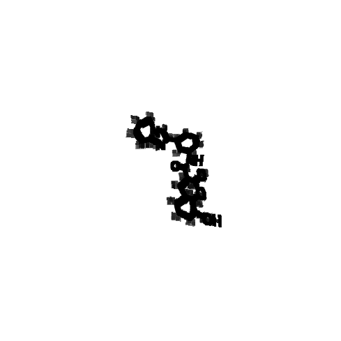 O=C(Nc1cccc(-c2cn3ccccc3n2)c1)c1cc2cccc(O)c2oc1=O